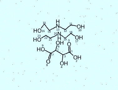 O=C(O)C(O)C(O)C(=O)O.OCCNCCO.OCCNCCO